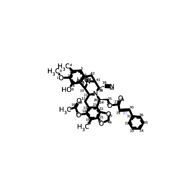 COc1c(C)cc2c(c1O)C1C3Cc4c(OC(C)=O)c(C)c5c(c4[C@H](COC(=O)/C=C/c4ccccc4)N3[C@@H](C#N)C(C2)N1C)OCO5